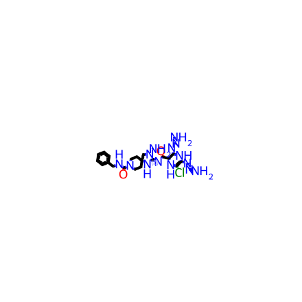 NN=NC1=C(Cl)NC(C(=O)/N=C2/NC3(CCN(C(=O)NCc4ccccc4)CC3)CN2N)C(N=NN)N1